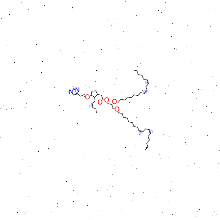 CC/C=C\CC1C(CC(=O)OCC(COCCCCCCCC/C=C\C/C=C\CCCCC)OCCCCCCCC/C=C\C/C=C\CCCCC)CCC1OCCc1cn(C)cn1